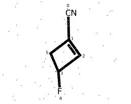 N#CC1=C[C](F)C1